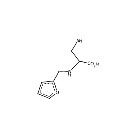 O=C(O)C(CS)NCc1ccco1